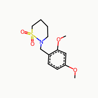 COc1ccc(CN2CCCCS2(=O)=O)c(OC)c1